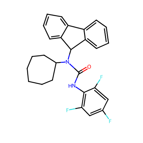 O=C(Nc1c(F)cc(F)cc1F)N(C1CCCCCC1)C1c2ccccc2-c2ccccc21